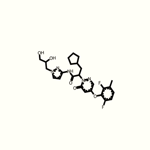 Cc1ccc(F)c(Oc2cnn(C(CC3CCCC3)C(=O)Nc3ccn(CC(O)CO)n3)c(=O)c2)c1F